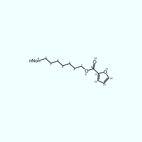 CCCCCCCCCCCCCCCCOC(=O)c1ccco1